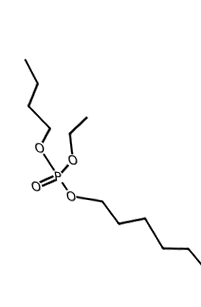 CCCCCCCOP(=O)(OCC)OCCCC